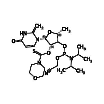 C=C1NC(=O)C=CN1[C@@H]1O[C@H](C)C(OP(OCC#N)N(C(C)C)C(C)C)[C@@H]1OC(=S)N1CCOCC1